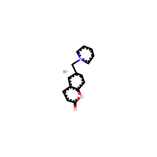 O=c1ccc2cc(C[n+]3ccccc3)ccc2o1.[Br-]